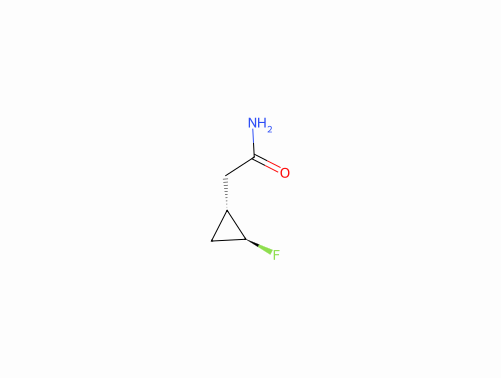 NC(=O)C[C@H]1C[C@@H]1F